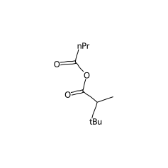 CCCC(=O)OC(=O)C(C)C(C)(C)C